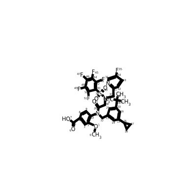 COc1cc(C(=O)O)ccc1N(Cc1cc(C2CC2)cc(C(C)(C)C)c1)C(=O)CN(Cc1ccc(F)cn1)S(=O)(=O)c1c(F)c(F)c(F)c(F)c1F